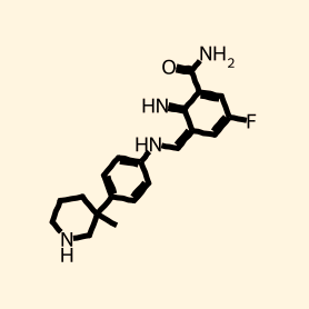 CC1(c2ccc(N/C=C3/C=C(F)C=C(C(N)=O)C3=N)cc2)CCCNC1